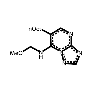 CCCCCCCCc1cnc2ncnn2c1NCOC